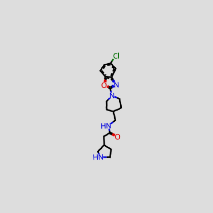 O=C(CC1CCNC1)NCC1CCN(c2nc3cc(Cl)ccc3o2)CC1